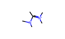 CC(N(C)C)=[N+](C)C